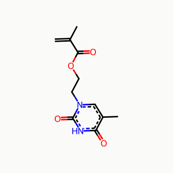 C=C(C)C(=O)OCCn1cc(C)c(=O)[nH]c1=O